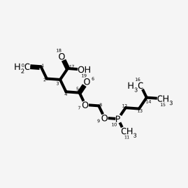 C=CCC(CC(=O)OCOP(C)CCC(C)C)C(=O)O